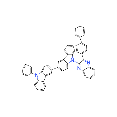 C1=CC(c2ccc(-c3nc4ccccc4nc3-n3c4ccccc4c4cc(-c5ccc6c(c5)c5ccccc5n6-c5ccccc5)ccc43)cc2)=CCC1